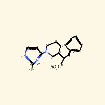 O=C(O)C(Cc1ccccc1)C1CCCN(c2ccnc(Cl)n2)C1